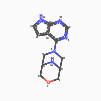 c1nc(N2CC3COCC(C2)N3)c2cc[nH]c2n1